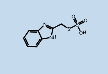 O=S(=O)(O)SCc1nc2ccccc2[nH]1